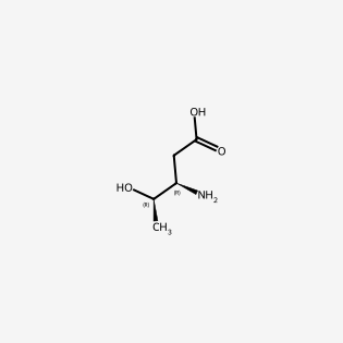 C[C@@H](O)[C@H](N)CC(=O)O